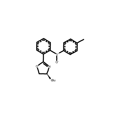 Cc1ccc([S+]([O-])c2ccccc2C2=N[C@@H](C(C)(C)C)CO2)cc1